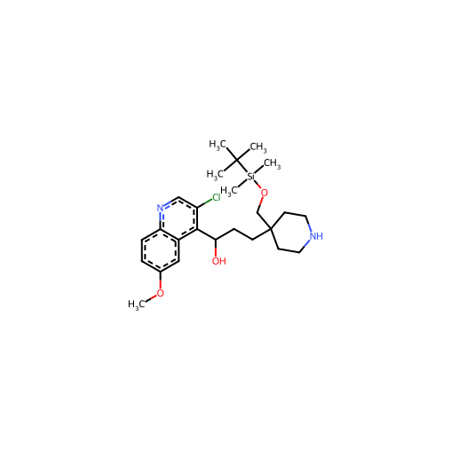 COc1ccc2ncc(Cl)c(C(O)CCC3(CO[Si](C)(C)C(C)(C)C)CCNCC3)c2c1